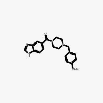 COc1ccc(CN2CCN(C(=O)c3ccc4[nH]cnc4c3)CC2)cc1